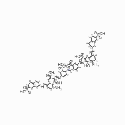 Nc1ccc(N=Nc2ccc3ccc(S(=O)(=O)O)cc3c2)c2cc(S(=O)(=O)O)c(N=Nc3ccc(/C=C/c4ccc(N=Nc5c(S(=O)(=O)O)cc6c(N=Nc7ccc8ccc(S(=O)(=O)O)cc8c7)ccc(N)c6c5O)cc4S(=O)(=O)O)c(S(=O)(=O)O)c3)c(O)c12